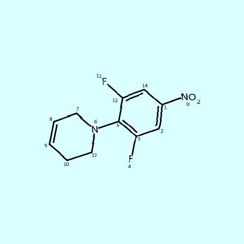 O=[N+]([O-])c1cc(F)c(N2CC=CCC2)c(F)c1